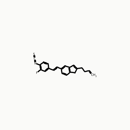 C=CCCC1=Cc2cc(/C=C/c3ccc(N=C=S)c(F)c3)ccc2C1